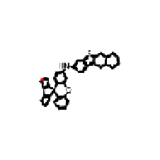 c1ccc2c(c1)Oc1cc(Nc3ccc4c(c3)sc3cc5ccccc5cc34)ccc1C21c2ccccc2-c2ccccc21